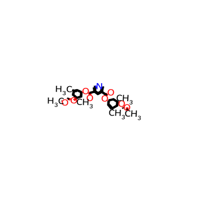 COCOC1(C)CC(C)=CC(OC(=O)c2cncc(C(=O)OC3C=C(C)CC(C)(OCOC)C3)c2)C1